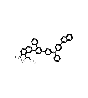 CCC(C)c1c(N)ccc2ccc(-c3ccc(-c4ccc(N(c5ccccc5)c5ccc(-c6ccc7ccccc7c6)cc5)cc4)cc3-c3ccccc3)cc12